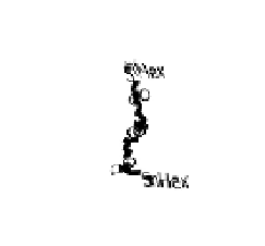 CCCCCCSCCC(=O)OCCCC(C)(C)OOC(C)(C)CCCOC(=O)CCSCCCCCC